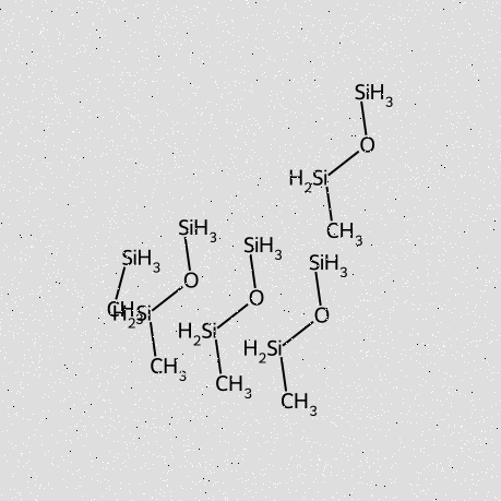 C[SiH2]O[SiH3].C[SiH2]O[SiH3].C[SiH2]O[SiH3].C[SiH2]O[SiH3].C[SiH3]